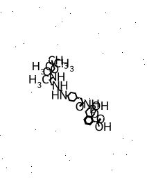 C[C@@H](CNCCNC1CCC(CC(=O)N[C@H]2Cc3cccc(C(=O)O)c3OB2O)CC1)NC(=O)OC(C)(C)C